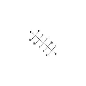 FC(F)(Br)C(F)(Br)C(F)(F)C(F)(Br)C(F)(F)Br